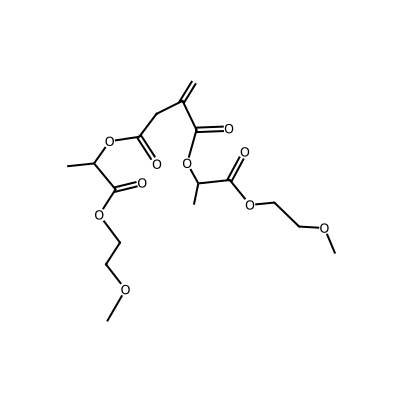 C=C(CC(=O)OC(C)C(=O)OCCOC)C(=O)OC(C)C(=O)OCCOC